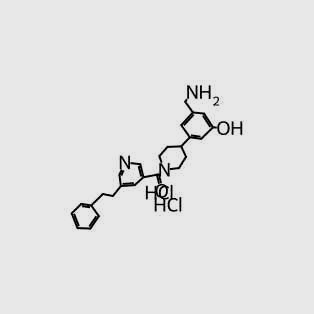 Cl.Cl.NCc1cc(O)cc(C2CCN(C(=O)c3cncc(CCc4ccccc4)c3)CC2)c1